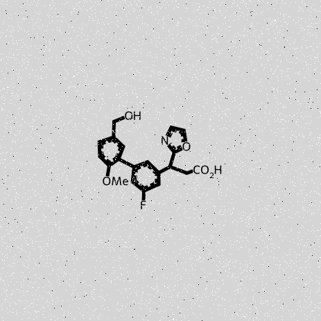 COc1ccc(CO)cc1-c1cc(F)cc(C(CC(=O)O)c2ncco2)c1